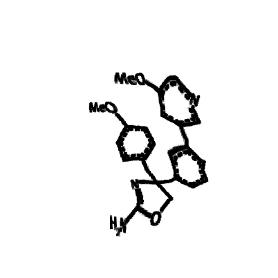 COc1ccc(C2(c3cccc(-c4cncc(OC)c4)c3)COC(N)=N2)cc1